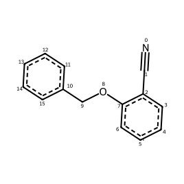 N#Cc1cc[c]cc1OCc1ccccc1